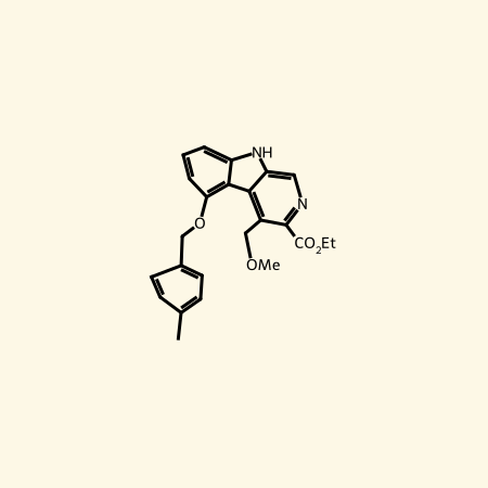 CCOC(=O)c1ncc2[nH]c3cccc(OCc4ccc(C)cc4)c3c2c1COC